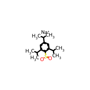 CC(C)c1cc(C(C)C)c(S(=O)[O-])c(C(C)C)c1.[Na+]